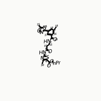 CCCOC(=O)c1sc(NC(=O)CCNC(=O)c2cc(C)cc(-c3noc(C)n3)c2)nc1C